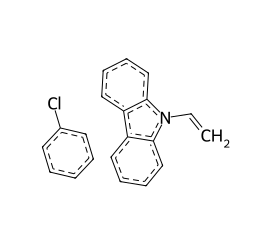 C=Cn1c2ccccc2c2ccccc21.Clc1ccccc1